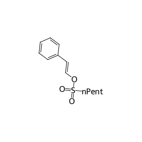 CCCCCS(=O)(=O)OC=Cc1ccccc1